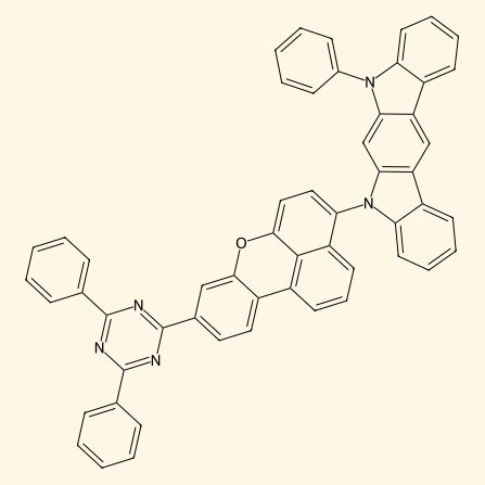 c1ccc(-c2nc(-c3ccccc3)nc(-c3ccc4c(c3)Oc3ccc(-n5c6ccccc6c6cc7c8ccccc8n(-c8ccccc8)c7cc65)c5cccc-4c35)n2)cc1